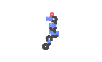 Cc1nn2c(C3CCCN(Cc4ccccc4)C3)ccnc2c1CNCC1CCC(=O)NC1